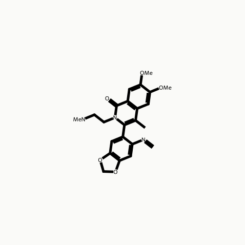 C=Nc1cc2c(cc1-c1c(C)c3cc(OC)c(OC)cc3c(=O)n1CCNC)OCO2